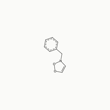 C1=CN(Cc2ccccc2)OO1